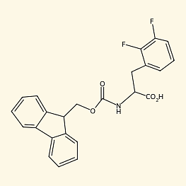 O=C(NC(Cc1cccc(F)c1F)C(=O)O)OCC1c2ccccc2-c2ccccc21